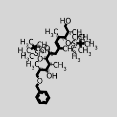 CC(=C[C@H](C)[C@@H](O[Si](C)(C)C(C)(C)C)[C@@H](C)CO)C[C@H](C)[C@@H](O[Si](C)(C)C(C)(C)C)[C@H](C)[C@@H](O)[C@@H](C)COCc1ccccc1